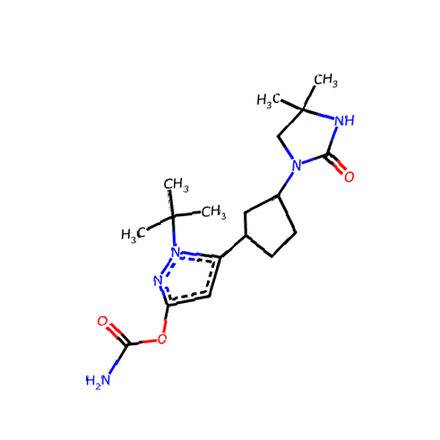 CC1(C)CN(C2CCC(c3cc(OC(N)=O)nn3C(C)(C)C)C2)C(=O)N1